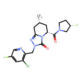 O=C([C@H]1C[C@@H](C(F)(F)F)Cc2nn(Cc3ncc(F)cc3Cl)c(=O)n21)N1CC[C@H](F)C1